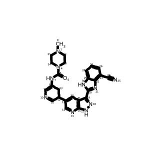 CN1CCN(C(=O)NC2=CN=CC(c3cnc4[nH]nc(-c5nc6c(C#N)cccc6[nH]5)c4c3)C2)CC1